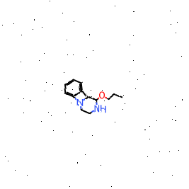 CCCOC1NCCN2[C]1c1ccccc12